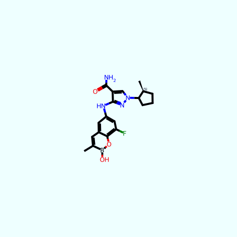 CC1=Cc2cc(Nc3nn(C4CCC[C@@H]4C)cc3C(N)=O)cc(F)c2OB1O